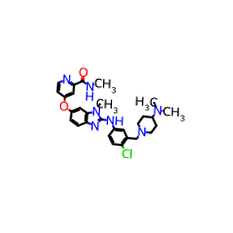 CNC(=O)c1cc(Oc2ccc3nc(Nc4ccc(Cl)c(CN5CCC(N(C)C)CC5)c4)n(C)c3c2)ccn1